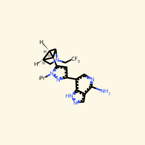 CC(C)n1nc(-c2cnc(N)c3cn[nH]c23)cc1[C@]12C3[C@@H]1[C@@H]2CN3CC(F)(F)F